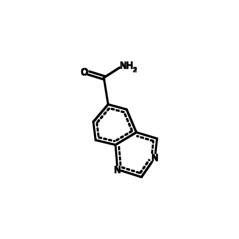 NC(=O)c1ccc2ncncc2c1